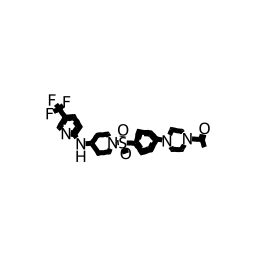 CC(=O)N1CCN(c2ccc(S(=O)(=O)N3CCC(Nc4ccc(C(F)(F)F)cn4)CC3)cc2)CC1